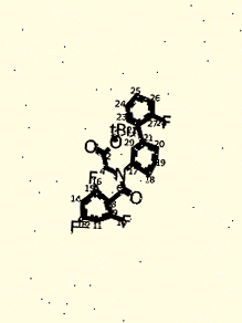 CC(C)(C)OC(=O)CN(C(=O)c1c(F)cc(F)cc1F)c1cccc(-c2ccccc2F)c1